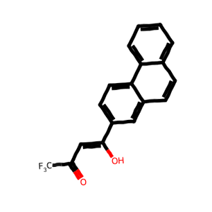 O=C(/C=C(\O)c1ccc2c(ccc3ccccc32)c1)C(F)(F)F